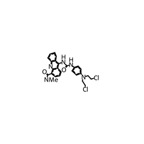 CNC(=O)c1cccc2c(NC(=O)Nc3ccc(N(CCCl)CCCl)cc3)c3ccccc3nc12